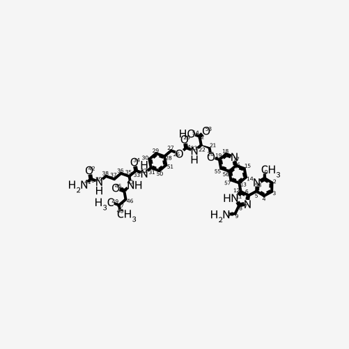 Cc1cccc(-c2nc(CN)[nH]c2-c2ccc3ncc(OC[C@@H](NC(=O)OCc4ccc(NC(=O)C(CCCNC(N)=O)NC(=O)CC(C)C)cc4)C(=O)O)cc3c2)n1